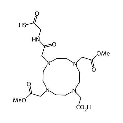 COC(=O)CN1CCN(CC(=O)O)CCN(CC(=O)OC)CCN(CC(=O)NCC(=O)S)CC1